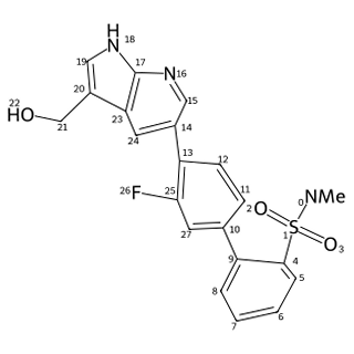 CNS(=O)(=O)c1ccccc1-c1ccc(-c2cnc3[nH]cc(CO)c3c2)c(F)c1